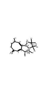 CN[C@@H](C)C1=C/C(=O)CCC(C)/C=C\1B1OC(C)(C)C(C)(C)O1